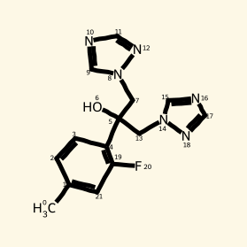 Cc1ccc(C(O)(Cn2cncn2)Cn2cncn2)c(F)c1